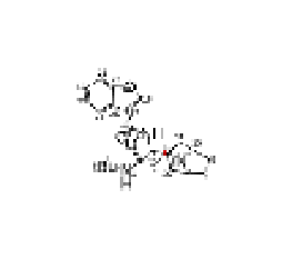 CC(C)(C)NC(=O)CCN1C2CCC1CC(CNC(=O)c1coc3ccccc13)C2